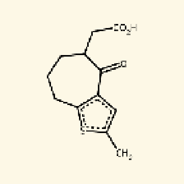 Cc1cc2c(s1)CCCC(CC(=O)O)C2=O